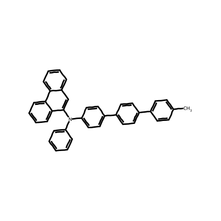 Cc1ccc(-c2ccc(-c3ccc(N(c4ccccc4)c4cc5ccccc5c5ccccc45)cc3)cc2)cc1